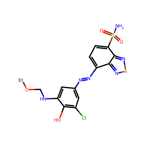 CCOCNc1cc(/N=N/c2ccc(S(N)(=O)=O)c3nsnc23)cc(Cl)c1O